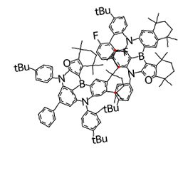 Cc1cc2c3c(c1)N(c1ccc(C(C)(C)C)cc1)c1oc4c(c1B3c1cc3c(cc1N2c1ccc(C(C)(C)C)cc1-c1c(F)ccc(CC2(C)CCC(C)(C)c5cc6c(cc52)B2c5c(cc(-c7ccccc7)cc5N(c5ccc(C(C)(C)C)cc5)c5oc7c(c52)C(C)(C)CCC7(C)C)N6c2ccc(C(C)(C)C)cc2C)c1F)C(C)(C)CCC3(C)C)C(C)(C)CCC4(C)C